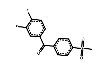 CS(=O)(=O)c1ccc(C(=O)c2ccc(F)c(F)c2)cc1